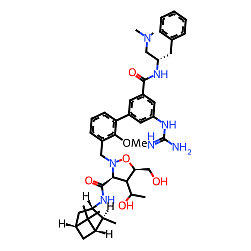 COc1c(CN2O[C@@H](CO)C(C(C)O)[C@H]2C(=O)N[C@H]2C[C@H]3C[C@@H]([C@@H]2C)C3(C)C)cccc1-c1cc(NC(=N)N)cc(C(=O)N[C@@H](Cc2ccccc2)CN(C)C)c1